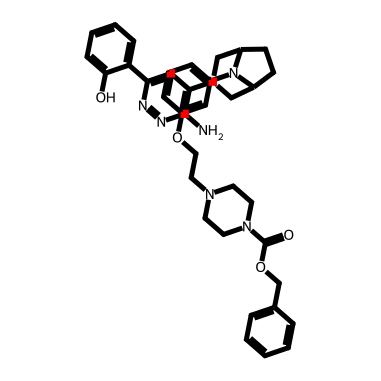 Nc1nnc(-c2ccccc2O)cc1N1CC2CCC(C1)N2c1cccc(OCCN2CCN(C(=O)OCc3ccccc3)CC2)c1